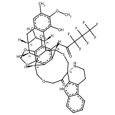 COc1c(C)cc2c(c1O)[C@@H]1C3[C@@H]4SC[C@]5(NCCc6c5[nH]c5ccccc65)C(=O)COC[C@@H](c5c6c(c(C)c(OC(=O)C(F)(F)C(F)(F)C(F)(F)F)c54)OCO6)N3[C@@H](O)[C@H](C2)N1C